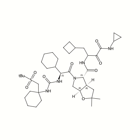 CC1(C)C[C@H]2[C@H](CN(C(=O)[C@@H](NC(=O)NC3(CS(=O)(=O)C(C)(C)C)CCCCC3)C3CCCCC3)[C@@H]2C(=O)NC(CC2CCC2)C(=O)C(=O)NC2CC2)O1